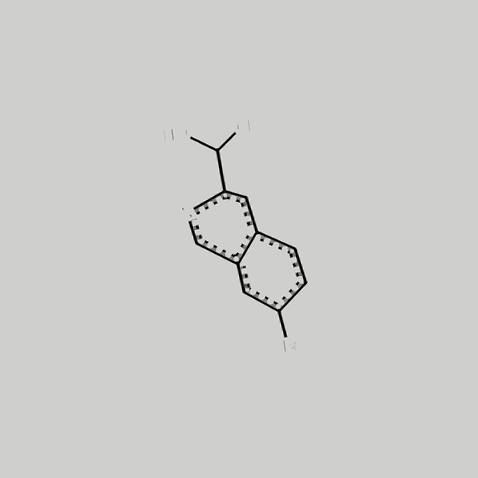 CC(O)c1cc2ccc(Br)cc2cn1